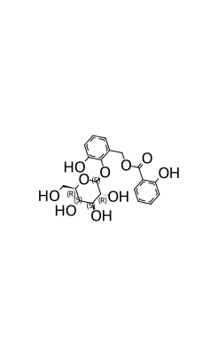 O=C(OCc1cccc(O)c1O[C@@H]1O[C@H](CO)[C@@H](O)[C@H](O)[C@H]1O)c1ccccc1O